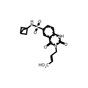 O=C(O)C=CCn1c(=O)[nH]c2ccc(S(=O)(=O)NC34CC(C3)C4)cc2c1=O